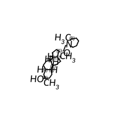 C[C@@H]1CCCCN1CC(=O)[C@H]1CC[C@H]2[C@@H]3CC[C@@H]4C[C@](C)(O)CC[C@@H]4[C@H]3CC[C@]12C